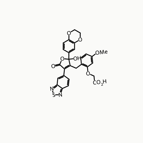 COc1ccc(CC2=C(c3ccc4nsnc4c3)C(=O)OC2(O)c2ccc3c(c2)OCCO3)c(OCC(=O)O)c1